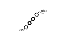 CCCCC(CC)C[C@H]1CC[C@H](c2ccc(-c3ccc([C@H]4CC[C@H](CCC)CC4)cc3)cc2)CC1